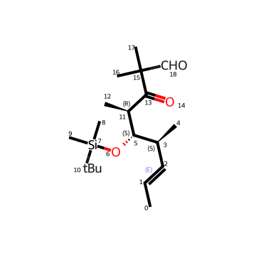 C/C=C/[C@H](C)[C@H](O[Si](C)(C)C(C)(C)C)[C@@H](C)C(=O)C(C)(C)C=O